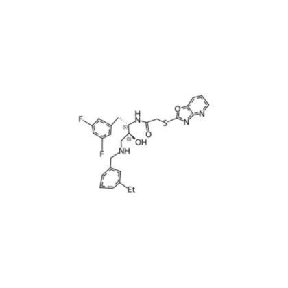 CCc1cccc(CNC[C@H](O)[C@H](Cc2cc(F)cc(F)c2)NC(=O)CSc2nc3ncccc3o2)c1